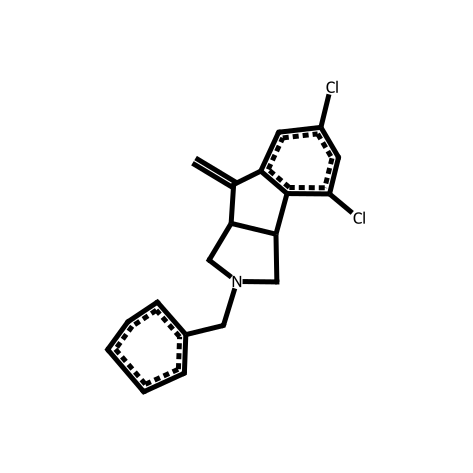 C=C1c2cc(Cl)cc(Cl)c2C2CN(Cc3ccccc3)CC12